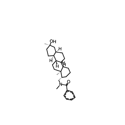 CN(C[C@H]1CCC[C@H]2[C@@H]3CC[C@@H]4C[C@](C)(O)CC[C@@H]4[C@H]3CC[C@]12C)C(=O)c1ccccc1